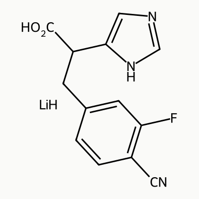 N#Cc1ccc(CC(C(=O)O)c2cnc[nH]2)cc1F.[LiH]